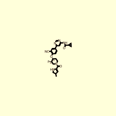 CC1C=C(C(=O)N2CC[C@H](Oc3ccc(-c4cc(NC(=O)C5CC5)ncn4)cc3C#N)[C@H](F)C2)NC1